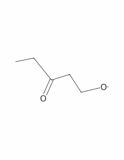 CCC(=O)CC[O]